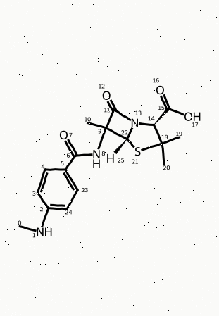 CNc1ccc(C(=O)NC2(C)C(=O)N3[C@@H](C(=O)O)C(C)(C)S[C@@H]32)cc1